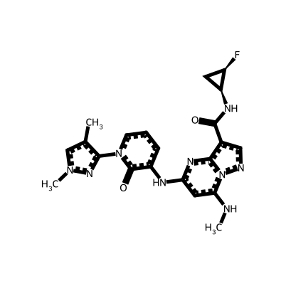 CNc1cc(Nc2cccn(-c3nn(C)cc3C)c2=O)nc2c(C(=O)N[C@H]3C[C@H]3F)cnn12